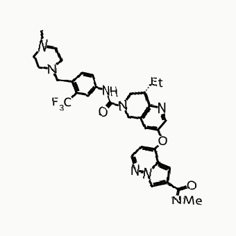 CC[C@H]1CN(C(=O)Nc2ccc(CN3CCN(C)CC3)c(C(F)(F)F)c2)Cc2cc(Oc3ccnn4cc(C(=O)NC)cc34)cnc21